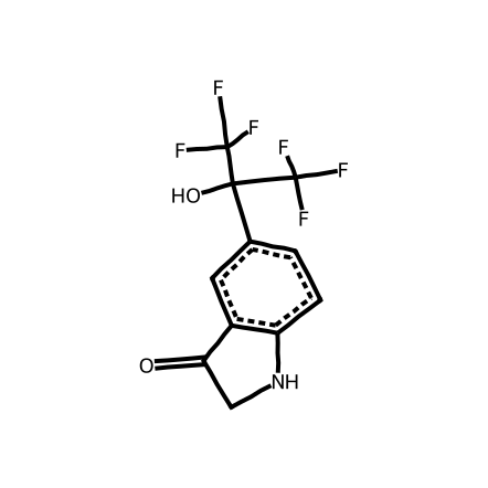 O=C1CNc2ccc(C(O)(C(F)(F)F)C(F)(F)F)cc21